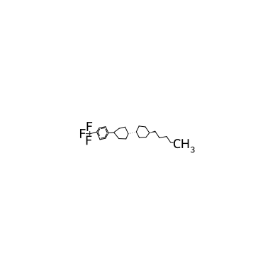 CCCCC[C@H]1CC[C@H](C2CCC(c3ccc(C(F)(F)F)cc3)CC2)CC1